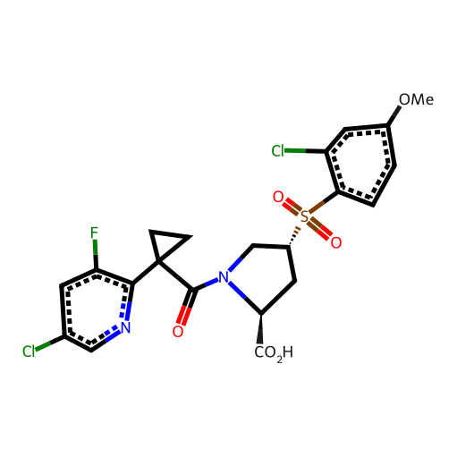 COc1ccc(S(=O)(=O)[C@@H]2C[C@@H](C(=O)O)N(C(=O)C3(c4ncc(Cl)cc4F)CC3)C2)c(Cl)c1